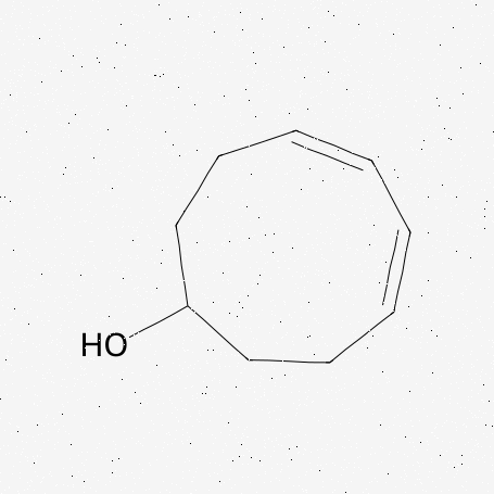 OC1CCC=CC=CCC1